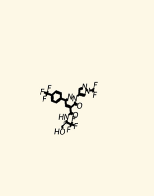 O=C(N[C@H](CO)C(F)(F)F)c1cc(-c2ccc(C(F)(F)F)cc2)nn(-c2cnn(C(F)F)c2)c1=O